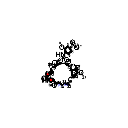 COc1cc([N+](=O)[O-])ccc1NC(=O)O[C@H]1CC(=O)N(C)c2cc(cc(OC)c2Cl)C/C(C)=C/C=C/[C@@H](OC)[C@@]2(O)C[C@@H](C[C@@H]3O[C@@]13C)OC(=O)N2